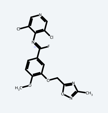 COc1ccc(/C(F)=N/c2c(Cl)cncc2Cl)cc1OCc1nc(C)no1